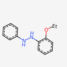 CCOc1ccccc1NNc1ccccc1